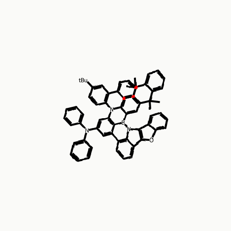 CC(C)(C)c1ccc(N2c3cc4c(cc3B3c5c(cc(N(c6ccccc6)c6ccccc6)cc52)-c2cccc5c6oc7ccccc7c6n3c25)C(C)(C)c2ccccc2C4(C)C)c(-c2ccccc2)c1